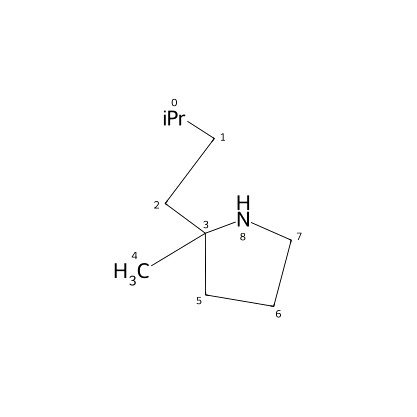 CC(C)CCC1(C)CCCN1